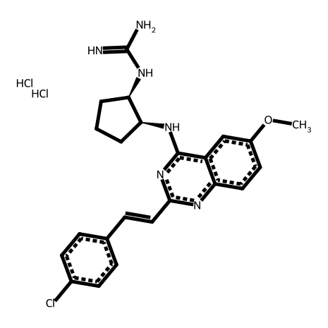 COc1ccc2nc(C=Cc3ccc(Cl)cc3)nc(N[C@H]3CCC[C@H]3NC(=N)N)c2c1.Cl.Cl